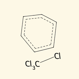 ClC(Cl)(Cl)Cl.c1ccccc1